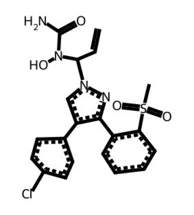 C=CC(N(O)C(N)=O)n1cc(-c2ccc(Cl)cc2)c(-c2ccccc2S(C)(=O)=O)n1